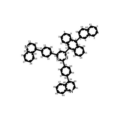 c1ccc2cc(-c3c4ccccc4c(-c4cc(-c5ccc(-c6ccnc7ccccc67)cc5)nc(-c5ccc(-c6ccnc7ccccc67)cc5)n4)c4ccccc34)ccc2c1